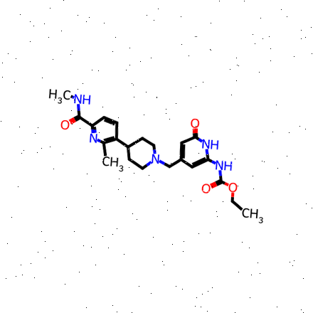 CCOC(=O)Nc1cc(CN2CCC(c3ccc(C(=O)NC)nc3C)CC2)cc(=O)[nH]1